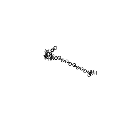 Cc1sc2c(c1C)C(c1ccc(Cl)cc1)=N[C@@H](CC(=O)Nc1ccc(OCCOCCOCCOCCOCCOCCOCCOCCNC(=O)O)cc1)c1nnc(C)n1-2